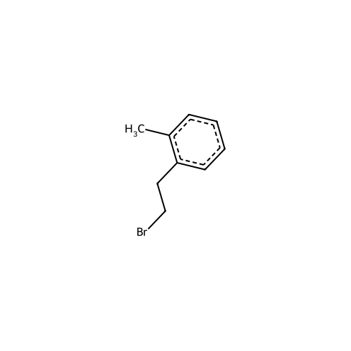 Cc1ccccc1CCBr